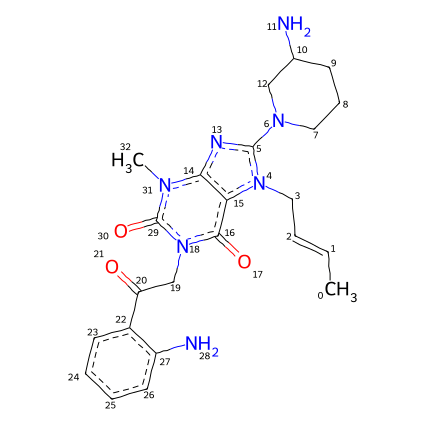 CC=CCn1c(N2CCCC(N)C2)nc2c1c(=O)n(CC(=O)c1ccccc1N)c(=O)n2C